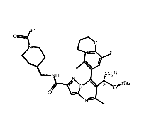 Cc1nc2cc(C(=O)NCC3CCN(C(=O)C(C)C)CC3)nn2c(-c2cc(F)c3c(c2C)CCCO3)c1[C@H](OC(C)(C)C)C(=O)O